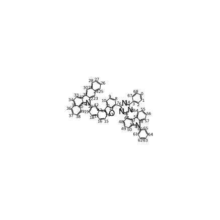 c1ccc(-c2nc(-c3cccc4c3oc3ccc5ccc(-n6c7cc8ccccc8cc7c7ccc8ccccc8c76)cc5c34)nc(-c3cccc4c3c3ccccc3n4-c3ccccc3)n2)cc1